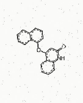 O=c1cc(Oc2cccc3ccccc23)c2ccccc2[nH]1